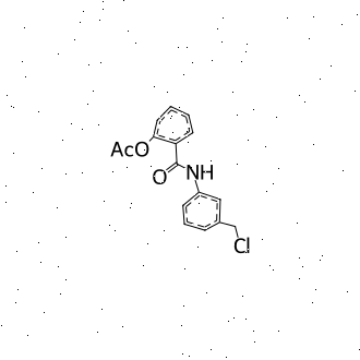 CC(=O)Oc1ccccc1C(=O)Nc1cccc(CCl)c1